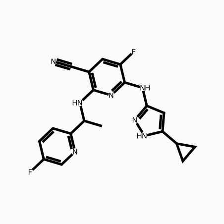 CC(Nc1nc(Nc2cc(C3CC3)[nH]n2)c(F)cc1C#N)c1ccc(F)cn1